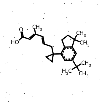 CC(C=CCC1(c2cc(C(C)(C)C)cc3c2CCC3(C)C)CC1)=CC(=O)O